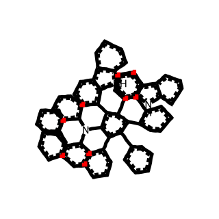 c1ccc(-c2ccccc2-c2c(-c3ccccc3)c(-c3ccccc3)c(N(c3ccccc3-c3ccccc3)c3ccccc3-c3ccccc3)c(-c3cccc4c3[nH]c3ccccc34)c2-c2cccc3c2[nH]c2ccccc23)cc1